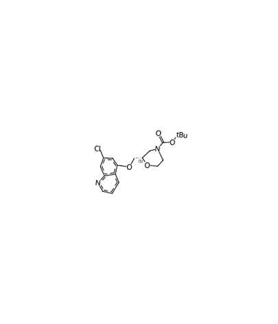 CC(C)(C)OC(=O)N1CCO[C@H](COc2cc(Cl)cc3ncccc23)C1